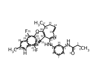 CCC(=O)Nc1cccc(NC2=N/C=C/CC(C)/C(Oc3cc(F)c4[nH]c(C)cc4c3F)=C\2C#N)c1